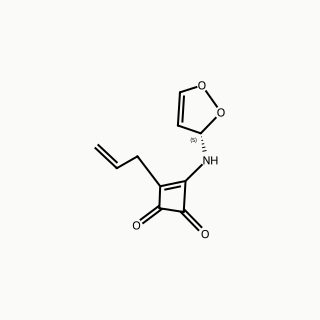 C=CCc1c(N[C@@H]2C=COO2)c(=O)c1=O